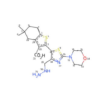 CC1(C)CCc2sc(-c3sc(N4CCOCC4)nc3CNN)c(C(=O)O)c2C1